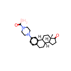 BC(=O)N1CCN(c2ccc3c(c2)[C@H]2CC[C@]4(C)C(=O)CC[C@H]4[C@@H]2CC3)CC1